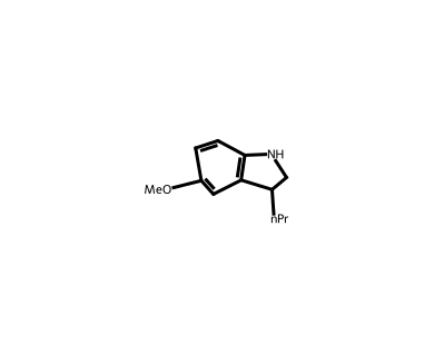 CCCC1CNc2ccc(OC)cc21